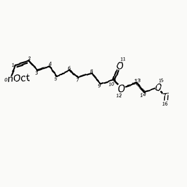 CCCCCCCC/C=C\CCCCCCCC(=O)OCC[O][Ti]